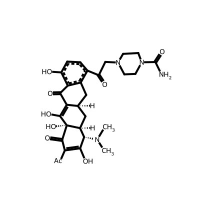 CC(=O)C1=C(O)[C@@H](N(C)C)[C@@H]2C[C@@H]3Cc4c(C(=O)CN5CCN(C(N)=O)CC5)ccc(O)c4C(=O)C3=C(O)[C@]2(O)C1=O